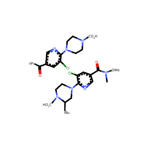 CCCC(=O)c1cnc(N2CCN(C(=O)O)CC2)c(Cl)c1.CON(C)C(=O)c1cnc(N2CCN(C(=O)O)C(C(C)(C)C)C2)c(Cl)c1